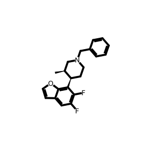 C[C@H]1CN(Cc2ccccc2)CC[C@H]1c1c(F)c(F)cc2ccoc12